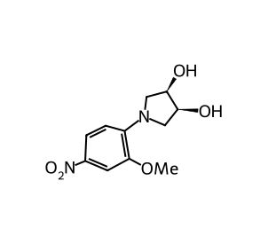 COc1cc([N+](=O)[O-])ccc1N1C[C@@H](O)[C@@H](O)C1